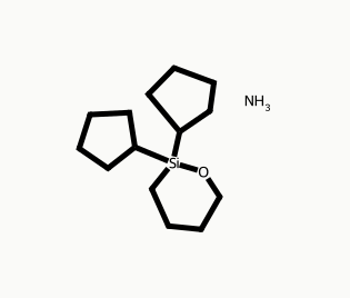 C1CC[Si](C2CCCC2)(C2CCCC2)OC1.N